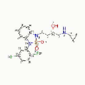 O=S1(=O)N(CC[C@H](O)CNC2CC2)c2ccccc2N1c1cc(F)ccc1F